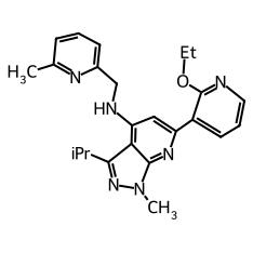 CCOc1ncccc1-c1cc(NCc2cccc(C)n2)c2c(C(C)C)nn(C)c2n1